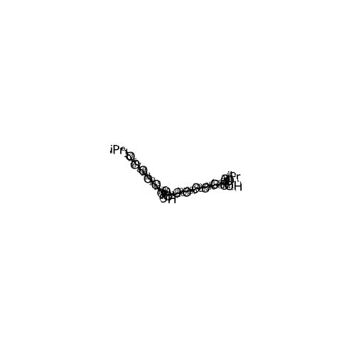 CC(C)CCOCCOCCOCCOCCOCCOP(=O)(O)OCCOCCOCCOCCOCCOCCOP(=O)(O)OC(C)C